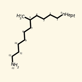 CCCCCCCCCCCC(C)CCCCCCN